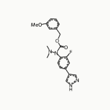 COc1cccc(COC(=O)N(c2ccc(-c3cn[nH]c3)cc2F)N(C)C)c1